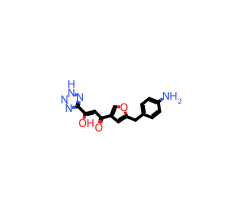 Nc1ccc(Cc2cc(C(=O)C=C(O)c3nn[nH]n3)co2)cc1